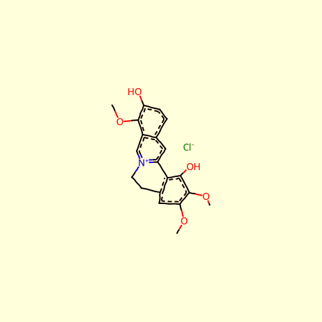 COc1cc2c(c(O)c1OC)-c1cc3ccc(O)c(OC)c3c[n+]1CC2.[Cl-]